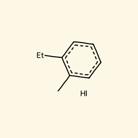 CCc1ccccc1C.I